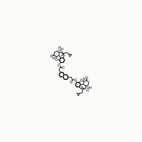 O=C(Cc1ccc2ccc(CC(=O)Oc3ccc4c5c3O[C@H]3C(=O)CC[C@@]6(O)[C@@H](C4)N(CC4CC4)CC[C@]536)cc2c1)Oc1ccc2c3c1O[C@H]1C(=O)CC[C@@]4(O)[C@@H](C2)N(CC2CC2)CC[C@]314